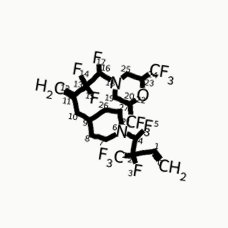 C=CC(F)(C(F)N1CCC(CC(=C)C(F)(F)C(F)N2CC(C(F)(F)F)OC(C(F)(F)F)C2)CC1)C(F)(F)F